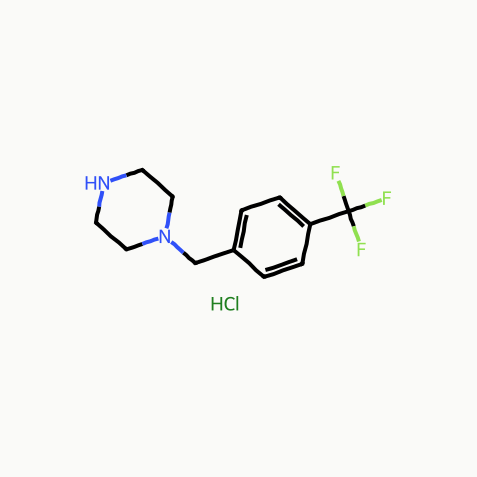 Cl.FC(F)(F)c1ccc(CN2CCNCC2)cc1